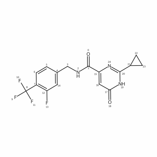 O=C(NCc1ccc(C(F)(F)F)c(F)c1)c1cc(=O)[nH]c(C2CC2)n1